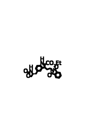 CCOC(=O)c1[nH]c2ccc(C[C@H]3COC(=O)N3)cc2c1CCN1C(=O)c2ccccc2C1=O